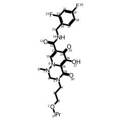 CC(C)OCCCN1CN(C)n2cc(C(=O)NCc3ccc(F)cc3F)c(=O)c(O)c2C1=O